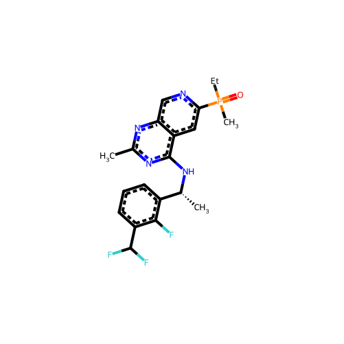 CCP(C)(=O)c1cc2c(N[C@H](C)c3cccc(C(F)F)c3F)nc(C)nc2cn1